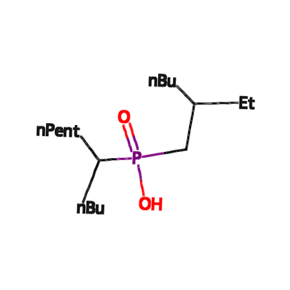 CCCCCC(CCCC)P(=O)(O)CC(CC)CCCC